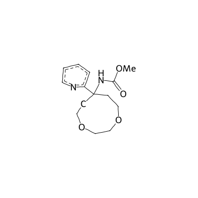 COC(=O)NC1(c2ccccn2)CCOCCOCC1